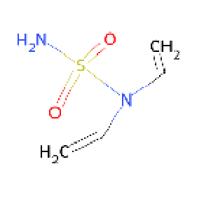 C=CN(C=C)S(N)(=O)=O